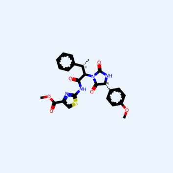 COC(=O)c1csc(NC(=O)C([C@@H](C)c2ccccc2)N2C(=O)N[C@H](c3ccc(OC)cc3)C2=O)n1